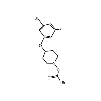 CC(C)(C)C(=O)ON1CCC(Oc2cc(F)cc(Br)c2)CC1